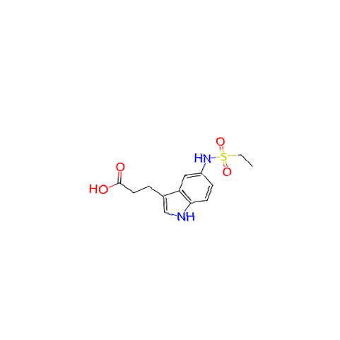 CCS(=O)(=O)Nc1ccc2[nH]cc(CCC(=O)O)c2c1